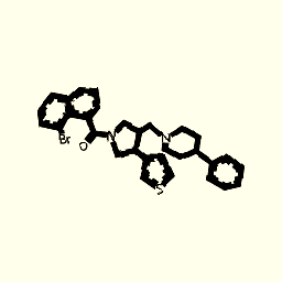 O=C(c1cccc2cccc(Br)c12)N1CC(CN2CCC(c3ccccc3)CC2)C(c2ccsc2)C1